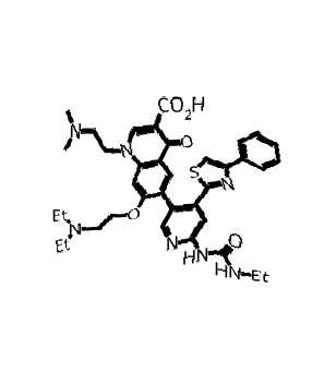 CCNC(=O)Nc1cc(-c2nc(-c3ccccc3)cs2)c(-c2cc3c(=O)c(C(=O)O)cn(CCN(C)C)c3cc2OCCN(CC)CC)cn1